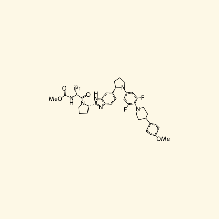 COC(=O)NC(C(=O)N1CCC[C@H]1c1nc2ccc([C@H]3CCCN3c3cc(F)c(N4CCC(c5ccc(OC)cc5)CC4)c(F)c3)cc2[nH]1)C(C)C